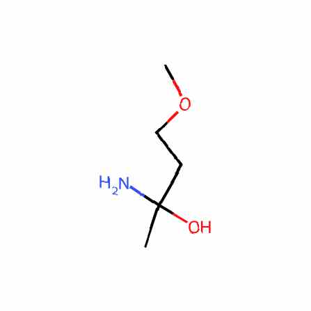 COCCC(C)(N)O